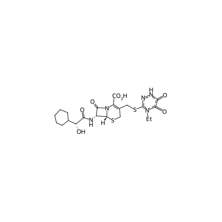 CCn1c(SCC2=C(C(=O)O)N3C(=O)[C@@H](NC(=O)[C@H](O)C4CCCCC4)[C@H]3SC2)n[nH]c(=O)c1=O